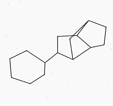 C1CCC(C2CC3C4CCC3C2C4)CC1